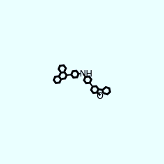 c1ccc2c(c1)cc(-c1ccc(Nc3ccc(-c4ccc5oc6ccccc6c5c4)cc3)cc1)c1ccccc12